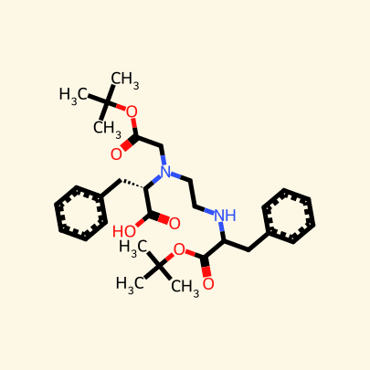 CC(C)(C)OC(=O)CN(CCNC(Cc1ccccc1)C(=O)OC(C)(C)C)[C@@H](Cc1ccccc1)C(=O)O